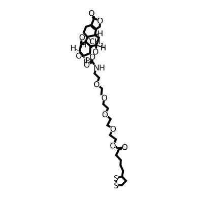 CC(C)[C@]12O[C@H]1[C@@H]1O[C@]13[C@]1(O[C@H]1C[C@H]1C4=C(CC[C@@]13C)C(=O)OC4)[C@@H]2OC(=O)NCCOCCOCCOCCOCCOC(=O)CCCCC1CCSS1